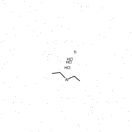 C[CH2][Al][CH2]C.Cl.Cl.Cl.[Ti]